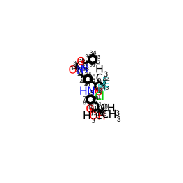 CC(C(C(=O)Nc1cccc(CC(C(=O)O)C(C)(C)C)c1Cl)c1ccc(CN2N=C(c3ccccc3)OCC2=O)cc1)C(F)(F)F